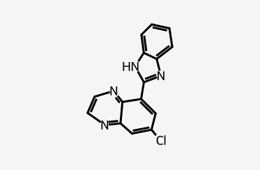 Clc1cc(-c2nc3ccccc3[nH]2)c2nccnc2c1